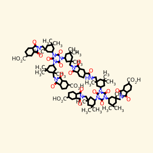 CC1(C)CC(n2c(=O)n(C3CC(C)(C)CC(C)(CN4C(=O)C5CCC(C(=O)O)CC5C4=O)C3)c(=O)n(C3CC(C)(C)CC(C)(CN4C(=O)C5CCC(C(=O)O)CC5C4=O)C3)c2=O)CC(C)(CNC(=O)C2CCC3C(=O)N(CC4(C)CC(n5c(=O)n(C6CC(C)(C)CC(C)(CN7C(=O)C8CCC(C(=O)O)CC8C7=O)C6)c(=O)n(C6CC(C)(C)CC(C)(CN7C(=O)C8CCC(C(=O)O)CC8C7=O)C6)c5=O)CC(C)(C)C4)C(=O)C3C2)C1